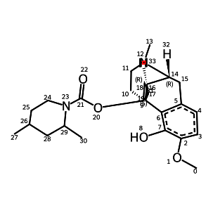 COc1ccc2c(c1O)[C@]13CCN(C)[C@H](C2)[C@@H]1CC=C(OC(=O)N1CCC(C)CC1C)C3